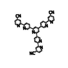 N#Cc1ccnc(-c2ccc(-c3cc(-c4ccc(-c5cc(C#N)ccn5)nc4)nc(-c4ccc(-c5cc(C#N)ccn5)nc4)c3)cn2)c1